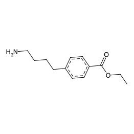 CCOC(=O)c1ccc(CCCCN)cc1